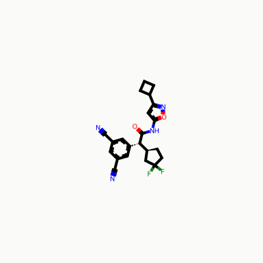 N#Cc1cc(C#N)cc([C@H](C(=O)Nc2cc(C3CCC3)no2)[C@H]2CCC(F)(F)C2)c1